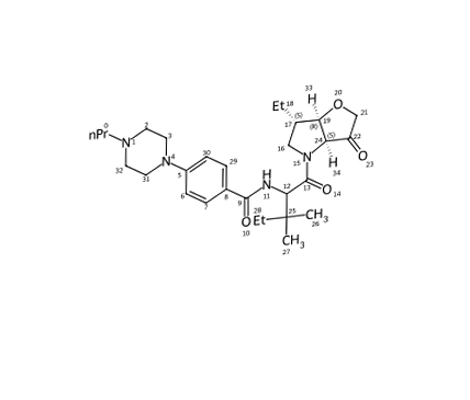 CCCN1CCN(c2ccc(C(=O)NC(C(=O)N3C[C@H](CC)[C@H]4OCC(=O)[C@H]43)C(C)(C)CC)cc2)CC1